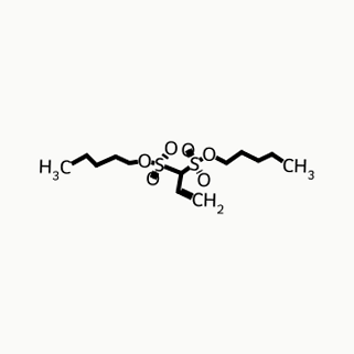 C=CC(S(=O)(=O)OCCCCC)S(=O)(=O)OCCCCC